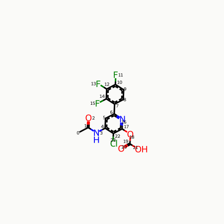 CC(=O)Nc1cc(-c2ccc(F)c(F)c2F)nc(OC(=O)O)c1Cl